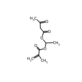 C=C(C)C(=O)OC(C)OC(=O)CC(C)=O